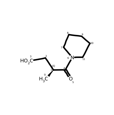 C[C@@H](CC(=O)O)C(=O)N1CCCCC1